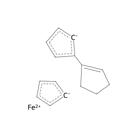 C1=C(c2ccc[cH-]2)CCC1.[Fe+2].c1cc[cH-]c1